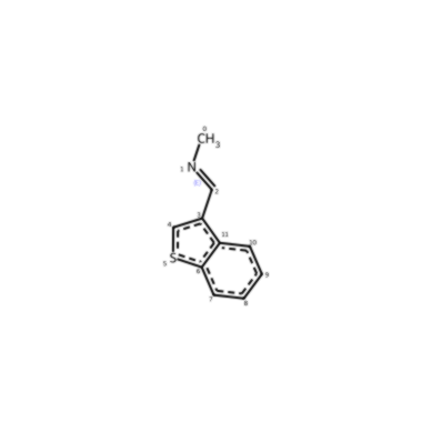 C/N=C/c1csc2ccccc12